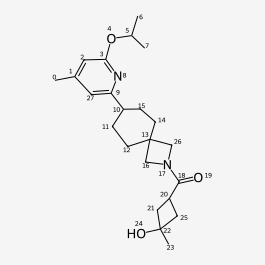 Cc1cc(OC(C)C)nc(C2CCC3(CC2)CN(C(=O)C2CC(C)(O)C2)C3)c1